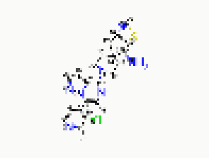 Cc1nccc(-c2c(C)nc(N3CCC4(CC3)Cc3ncsc3[C@H]4N)c3ccnn23)c1Cl